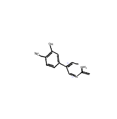 C=C(N)/N=C\C(=C/C)c1ccc(C#N)c(O)c1